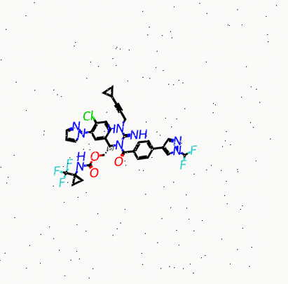 N=C(NCC#CC1CC1)N(C(=O)c1ccc(-c2cnn(C(F)F)c2)cc1)[C@H](COC(=O)NC1(C(F)(F)F)CC1)c1ccc(Cl)c(-n2cccn2)c1